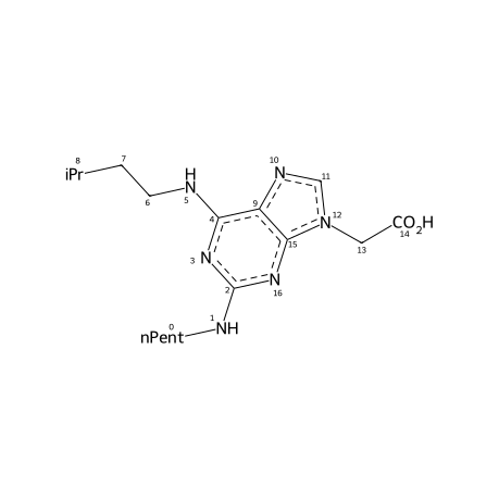 CCCCCNc1nc(NCCC(C)C)c2ncn(CC(=O)O)c2n1